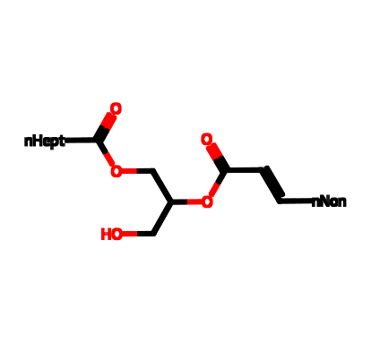 CCCCCCCCCC=CC(=O)OC(CO)COC(=O)CCCCCCC